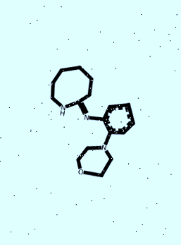 c1ccc(N2CCOCC2)c(N=C2CCCCCCN2)c1